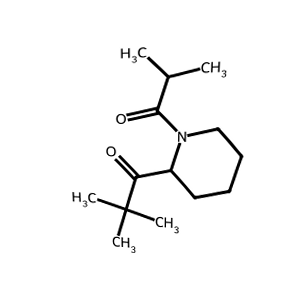 CC(C)C(=O)N1CCCCC1C(=O)C(C)(C)C